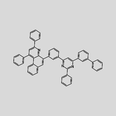 c1ccc(-c2cccc(-c3cc(-c4cccc(-c5cc6ccccc6c6c(-c7ccccc7)cc(-c7ccccc7)nc56)c4)nc(-c4ccccc4)n3)c2)cc1